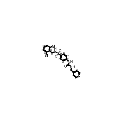 O=C(NCc1ccncc1)Nc1ccc(S(=O)(=O)NCc2c(Cl)cccc2Cl)cc1